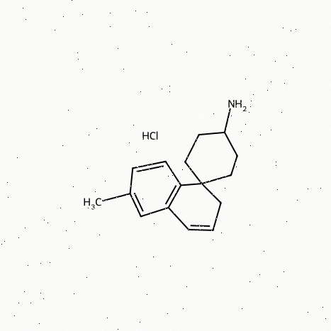 Cc1ccc2c(c1)C=CCC21CCC(N)CC1.Cl